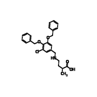 CC(CCNCc1cc(Cl)c(OCc2ccccc2)c(OCc2ccccc2)c1)C(=O)O